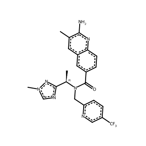 Cc1cc2cc(C(=O)N(Cc3ccc(C(F)(F)F)cn3)[C@H](C)c3ncn(C)n3)ccc2nc1N